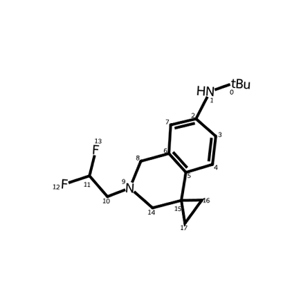 CC(C)(C)Nc1ccc2c(c1)CN(CC(F)F)CC21CC1